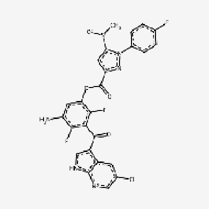 C[S+]([O-])c1cc(C(=O)Oc2cc(N)c(F)c(C(=O)c3c[nH]c4ncc(Cl)cc34)c2F)nn1-c1ccc(F)cc1